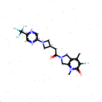 Cc1c2c(n(C)c(=O)c1F)CN(C(=O)CC1CN(c3cnc(C(F)(F)F)cn3)C1)C2